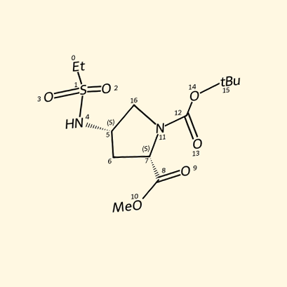 CCS(=O)(=O)N[C@H]1C[C@@H](C(=O)OC)N(C(=O)OC(C)(C)C)C1